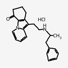 CC(Cc1ccccc1)NCCc1c2c(n3ccccc13)C(=O)CCC2.Cl